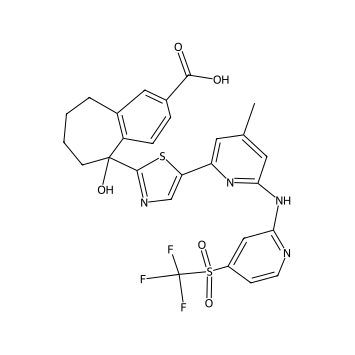 Cc1cc(Nc2cc(S(=O)(=O)C(F)(F)F)ccn2)nc(-c2cnc(C3(O)CCCCc4cc(C(=O)O)ccc43)s2)c1